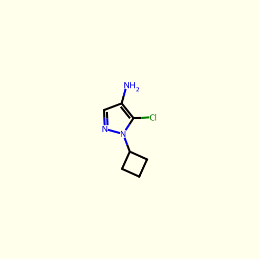 Nc1cnn(C2CCC2)c1Cl